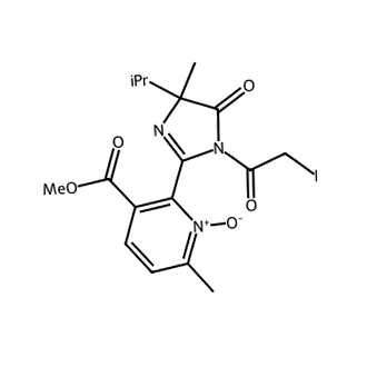 COC(=O)c1ccc(C)[n+]([O-])c1C1=NC(C)(C(C)C)C(=O)N1C(=O)CI